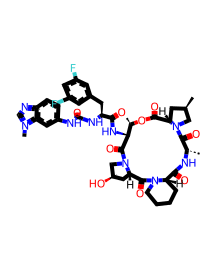 C[C@@H]1C[C@H]2C(=O)O[C@@H](C)[C@H](NC(=O)[C@H](Cc3cc(F)cc(F)c3)NC(=O)Nc3ccc4ncn(C)c4c3)C(=O)N3C[C@H](O)C[C@H]3C(=O)N3CCCC[C@H]3C(=O)N[C@@H](C)C(=O)N2C1